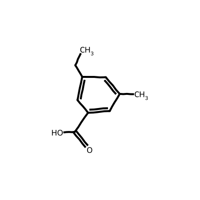 CCc1cc(C)cc(C(=O)O)c1